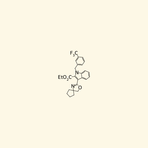 CCOC(=O)c1c(C2=NC3(CCCC3)CO2)c2ccccc2n1Cc1cccc(C(F)(F)F)c1